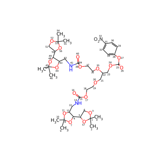 CC1(C)OCC(C2OC(C)(C)OC2CNC(=O)OCCOCC(COC(=O)Oc2ccc([N+](=O)[O-])cc2)OCCOC(=O)NCC2OC(C)(C)OC2C2COC(C)(C)O2)O1